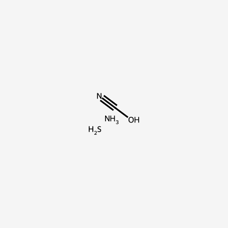 N.N#CO.S